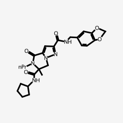 CCCN1C(=O)c2cc(C(=O)NCc3ccc4c(c3)OCO4)nn2CC1(C)C(=O)NC1CCCC1